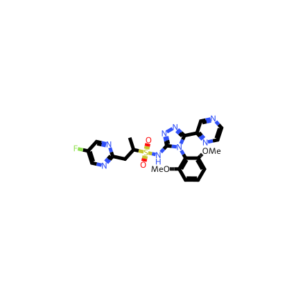 COc1cccc(OC)c1-n1c(NS(=O)(=O)C(C)Cc2ncc(F)cn2)nnc1-c1cnccn1